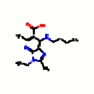 CCCCNc1c(C(=O)O)c(C)nc2c1nc(C)n2CC